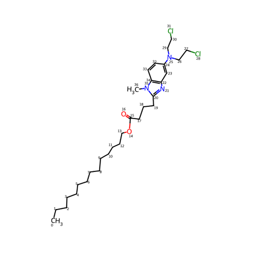 CCCCCCCCCCCCCCOC(=O)CCCc1nc2cc(N(CCCl)CCCl)ccc2n1C